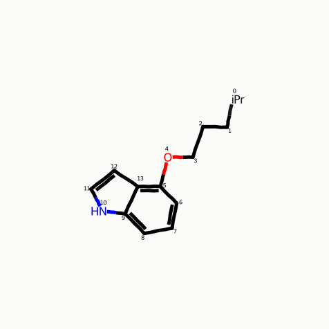 CC(C)CCCOc1cccc2[nH]ccc12